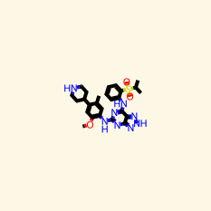 COc1cc(C2CCNCC2)c(C)cc1Nc1nc(Nc2ccccc2S(=O)(=O)C(C)C)c2n[nH]nc2n1